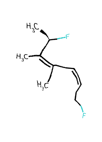 CC(/C=C\CF)=C(\C)[C@@H](C)F